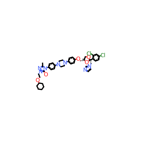 Cc1nn(CCOC2CCCCC2)c(=O)n1-c1ccc(N2CCN(c3ccc(OC[C@@H]4CO[C@@](Cn5ccnc5)(c5ccc(Cl)cc5Cl)O4)cc3)CC2)cc1